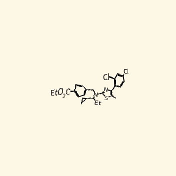 CCOC(=O)c1ccc(CN(c2nc(-c3ccc(Cl)cc3Cl)c(C)s2)C(CC)C2CC2)cc1